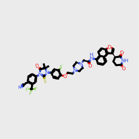 CC1(C)C(=O)N(c2ccc(C#N)c(C(F)(F)F)c2)C(=S)N1c1ccc(OCCN2CCN(CC(=O)Nc3cccc4c3ccc3occ([C@@H]5CCC(=O)NC5=O)c34)CC2)c(F)c1